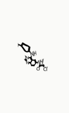 O=C(CCl)Nc1ccc2ncnc(Nc3cccc(I)c3)c2c1